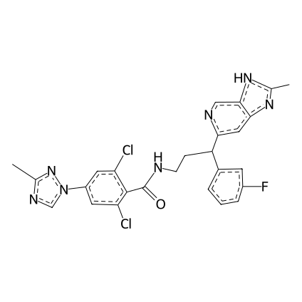 Cc1ncn(-c2cc(Cl)c(C(=O)NCCC(c3cccc(F)c3)c3cc4nc(C)[nH]c4cn3)c(Cl)c2)n1